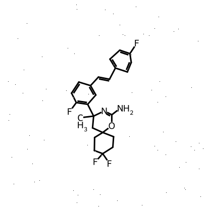 CC1(c2cc(C=Cc3ccc(F)cc3)ccc2F)CC2(CCC(F)(F)CC2)OC(N)=N1